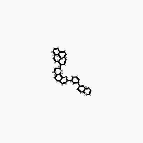 c1cc(-c2ccc3nccnc3c2)cc(-c2ccc3ccc4ccc(-c5ccc6ccc7cccc8ccc5c6c78)nc4c3n2)c1